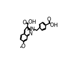 COc1ccc2cc(C(=O)O)c(NCc3ccc(C(=O)O)cc3)nc2c1